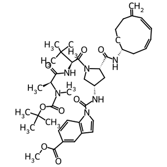 C=C1/C=C\C=C/C[C@H](NC(=O)[C@@H]2C[C@H](NC(=O)n3ccc4cc(C(=O)OC)ccc43)CN2C(=O)[C@@H](NC(=O)[C@H](C)N(C)C(=O)OC(C)(C)C)C(C)(C)C)CCC1